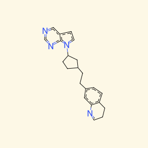 C1=Nc2cc(CCC3CCC(n4ccc5cncnc54)C3)ccc2CC1